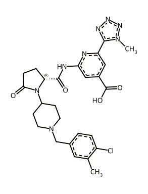 Cc1cc(CN2CCC(N3C(=O)CC[C@@H]3C(=O)Nc3cc(C(=O)O)cc(-c4nnnn4C)n3)CC2)ccc1Cl